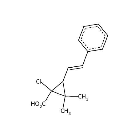 CC1(C)C(C=Cc2ccccc2)C1(Cl)C(=O)O